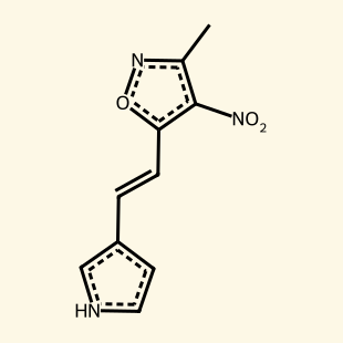 Cc1noc(/C=C/c2cc[nH]c2)c1[N+](=O)[O-]